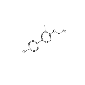 CC(=O)COc1ccc(-c2ccc(Cl)cc2)cc1C